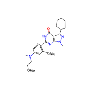 COCCN(C)c1ccc(-c2nc3c(c(C4CCCCC4)nn3C)c(=O)[nH]2)c(OC)c1